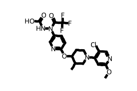 COc1cc(N2CCC(Oc3ccc(N(NC(=O)O)C(=O)C(F)(F)F)cn3)C(C)C2)c(Cl)cn1